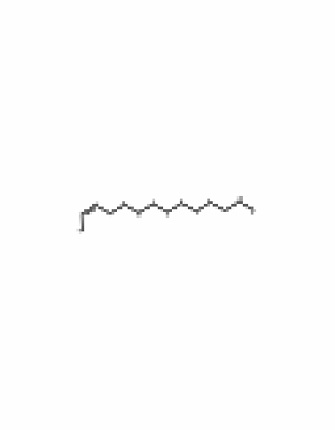 C/C=C\CCCCCCCCCCC